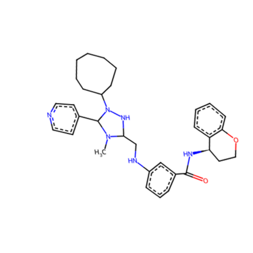 CN1C(CNc2cccc(C(=O)N[C@@H]3CCOc4ccccc43)c2)NN(C2CCCCCCC2)C1c1ccncc1